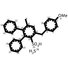 COc1ccc(Cc2cc(C)c(-c3ccccc3)c(-c3ccccc3)c2S(=O)(=O)O)cc1.S